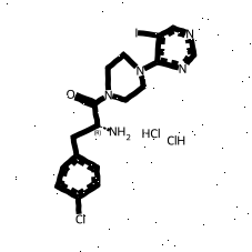 Cl.Cl.N[C@H](Cc1ccc(Cl)cc1)C(=O)N1CCN(c2ncncc2I)CC1